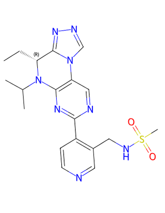 CC[C@@H]1c2nncn2-c2cnc(-c3ccncc3CNS(C)(=O)=O)nc2N1C(C)C